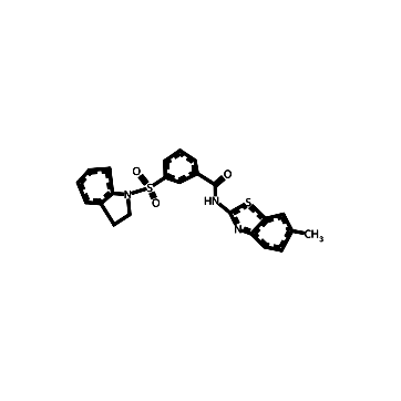 Cc1ccc2nc(NC(=O)c3cccc(S(=O)(=O)N4CCc5ccccc54)c3)sc2c1